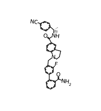 C[C@H](NC(=O)c1ccc2c(c1)CCCN2Cc1ccc(-c2ccccc2C(N)=O)cc1F)c1ccc(C#N)cc1